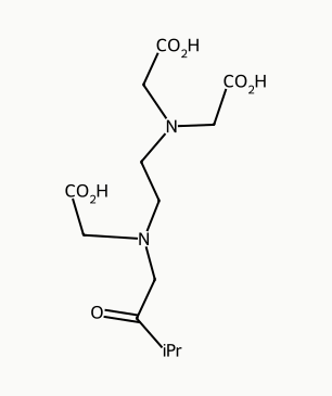 CC(C)C(=O)CN(CCN(CC(=O)O)CC(=O)O)CC(=O)O